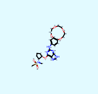 CN([C@@H]1CCC[C@H]1Oc1nc(Nc2ccc3c(c2)OCCOCCOCCO3)nc2[nH]cnc12)S(C)(=O)=O